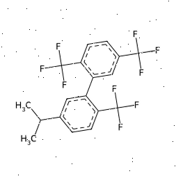 CC(C)c1ccc(C(F)(F)F)c(-c2cc(C(F)(F)F)ccc2C(F)(F)F)c1